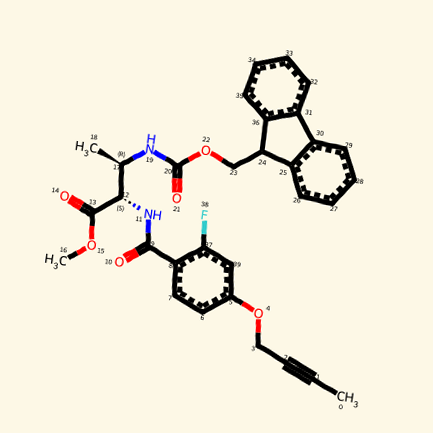 CC#CCOc1ccc(C(=O)N[C@H](C(=O)OC)[C@@H](C)NC(=O)OCC2c3ccccc3-c3ccccc32)c(F)c1